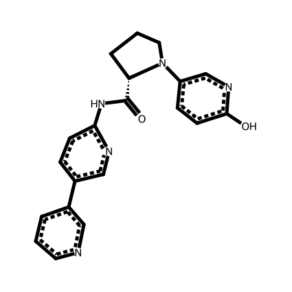 O=C(Nc1ccc(-c2cccnc2)cn1)[C@@H]1CCCN1c1ccc(O)nc1